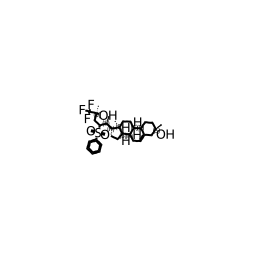 C[C@H](C(C[C@](C)(O)C(F)(F)F)S(=O)(=O)c1ccccc1)[C@H]1CC[C@H]2[C@@H]3CC=C4C[C@@](C)(O)CC[C@@H]4[C@H]3CC[C@]12C